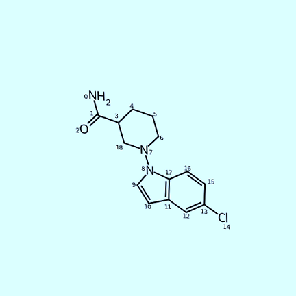 NC(=O)C1CCCN(n2ccc3cc(Cl)ccc32)C1